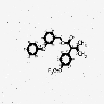 C=C(C)C(C(=O)OCc1cccc(Oc2ccccc2)c1)c1ccc(OC(F)(F)F)cc1